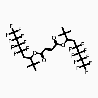 CC(C)(C)C(CC(F)(F)C(F)(F)C(F)(F)C(F)(F)F)OC(=O)/C=C/C(=O)OC(CC(F)(F)C(F)(F)C(F)(F)C(F)(F)F)C(C)(C)C